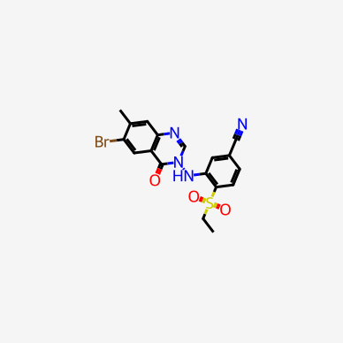 CCS(=O)(=O)c1ccc(C#N)cc1Nn1cnc2cc(C)c(Br)cc2c1=O